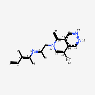 C=C/C(C)=C(C)/N=C(\C)CN1C=C(CC)c2cnncc2C1=C